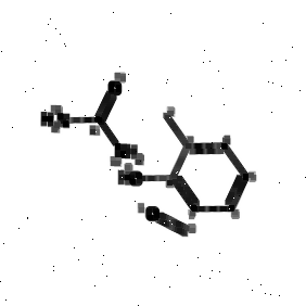 C=O.Cc1ccccc1O.NC(N)=O